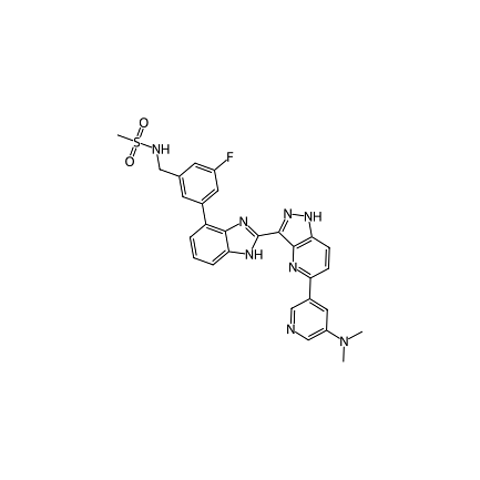 CN(C)c1cncc(-c2ccc3[nH]nc(-c4nc5c(-c6cc(F)cc(CNS(C)(=O)=O)c6)cccc5[nH]4)c3n2)c1